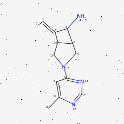 C/C=C1/C(N)C2CN(c3cc(C)ncn3)CC12